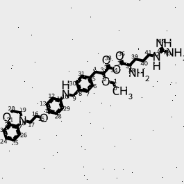 CCOC(Cc1ccc(CNc2ccc(OCCN3CCOc4ccccc43)cc2)cc1)C(=O)OC(=O)[C@@H](N)CCCNC(=N)N